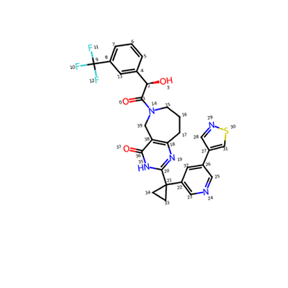 O=C([C@H](O)c1cccc(C(F)(F)F)c1)N1CCCc2nc(C3(c4cncc(-c5cnsc5)c4)CC3)[nH]c(=O)c2C1